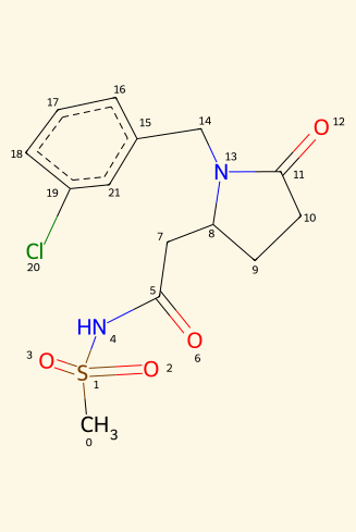 CS(=O)(=O)NC(=O)CC1CCC(=O)N1Cc1cccc(Cl)c1